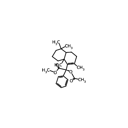 COC(=O)[C@](OC(C)=O)(C1=C(C)CCC2C(C)(C)CCCC12C)c1ccccc1